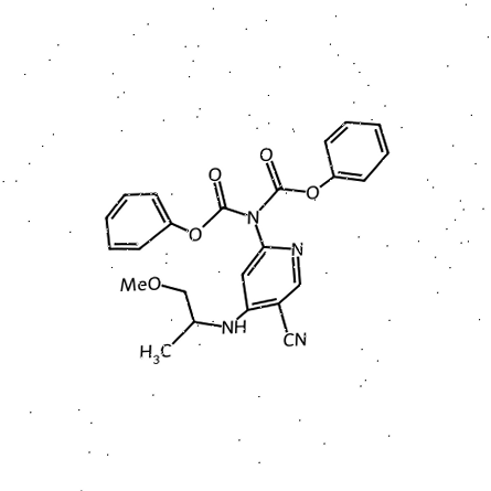 COCC(C)Nc1cc(N(C(=O)Oc2ccccc2)C(=O)Oc2ccccc2)ncc1C#N